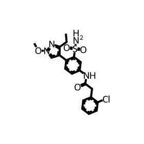 CCc1nn(OC)cc1-c1ccc(NC(=O)Cc2ccccc2Cl)cc1S(N)(=O)=O